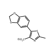 CCOC(=O)c1nc(C)sc1-c1ccc2c(c1)OCO2